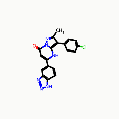 Cc1nn2c(=O)cc(-c3ccc4[nH]nnc4c3)[nH]c2c1-c1ccc(Cl)cc1